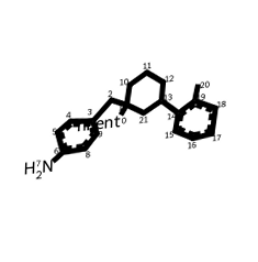 CCCCCC1(Cc2ccc(N)cc2)CCCC(c2ccccc2C)C1